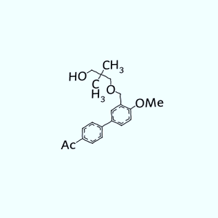 COc1ccc(-c2ccc(C(C)=O)cc2)cc1COCC(C)(C)CO